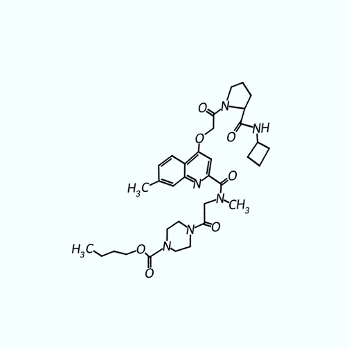 CCCCOC(=O)N1CCN(C(=O)CN(C)C(=O)c2cc(OCC(=O)N3CCCC3C(=O)NC3CCC3)c3ccc(C)cc3n2)CC1